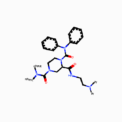 CCCCCN(CCCCC)C(=O)N1CCN(C(=O)N(c2ccccc2)c2ccccc2)C(C(=O)NCCN(C(C)C)C(C)C)C1